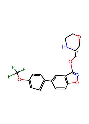 FC(F)(F)Oc1ccc(-c2ccc3onc(OC[C@@H]4COCCN4)c3c2)cc1